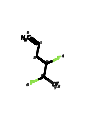 C=CCC(F)C(F)C(F)(F)F